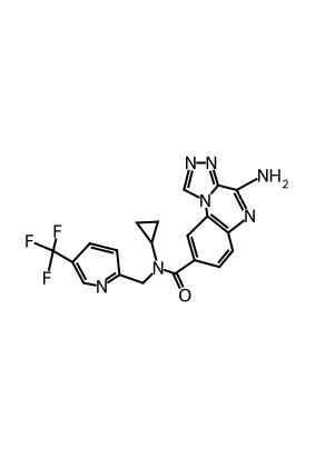 Nc1nc2ccc(C(=O)N(Cc3ccc(C(F)(F)F)cn3)C3CC3)cc2n2cnnc12